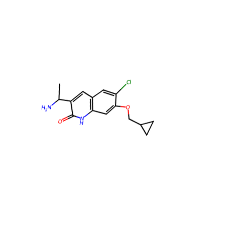 CC(N)c1cc2cc(Cl)c(OCC3CC3)cc2[nH]c1=O